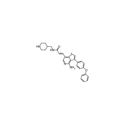 Nc1ncc(/C=C/C(=O)NCC2CCNCC2)c2scc(-c3ccc(Oc4ccccc4)cc3)c12